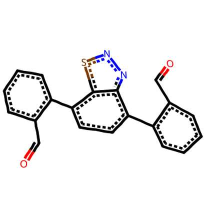 O=Cc1ccccc1-c1ccc(-c2ccccc2C=O)c2snnc12